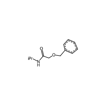 CC(C)NC(=O)COCc1ccccc1